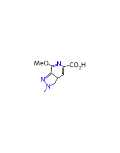 COC1=NC(C(=O)O)=CC2CN(C)N=C12